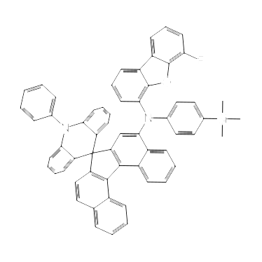 C[Si](C)(C)c1ccc(N(c2cc3c(c4ccccc24)-c2c(ccc4ccccc24)C32c3ccccc3N(c3ccccc3)c3ccccc32)c2cccc3c2oc2c(F)cccc23)cc1